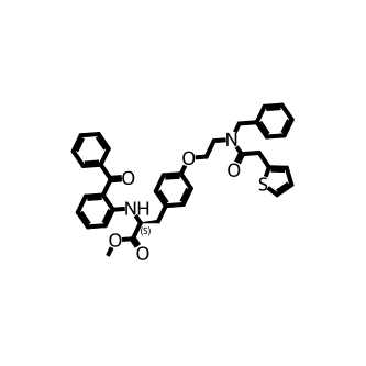 COC(=O)[C@H](Cc1ccc(OCCN(Cc2ccccc2)C(=O)Cc2cccs2)cc1)Nc1ccccc1C(=O)c1ccccc1